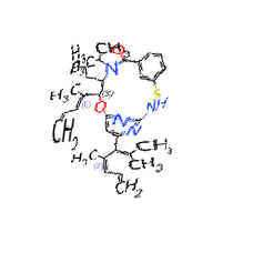 C=C/C=C(/C)C(=C(C)C)c1cc2nc(n1)NSc1cccc(c1)C(=O)N(C(C)C)C(CCC)[C@H](/C(C)=C/C=C)O2